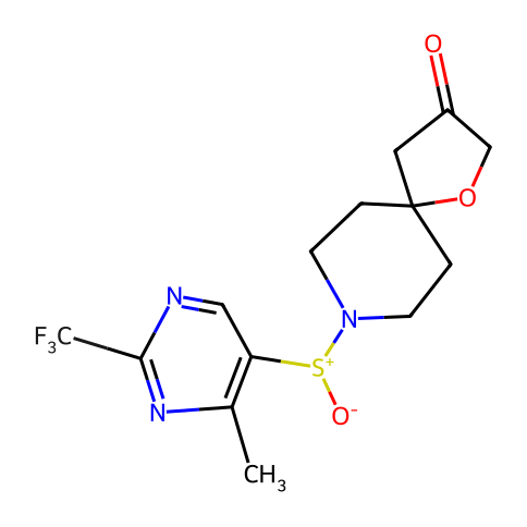 Cc1nc(C(F)(F)F)ncc1[S+]([O-])N1CCC2(CC1)CC(=O)CO2